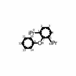 CC(C)c1cccc(C(C)C)c1Oc1cc[c]cc1